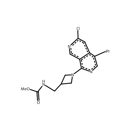 COC(=O)NCC1CN(c2ncc(C(C)C)c3cc(Cl)ncc23)C1